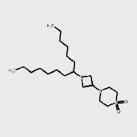 CCCCCCCC(CCCCCC)N1CC(N2CCS(=O)(=O)CC2)C1